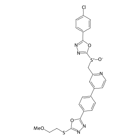 COCCSc1nnc(-c2ccc(-c3ccnc(C[S+]([O-])c4nnc(-c5ccc(Cl)cc5)o4)c3)cc2)o1